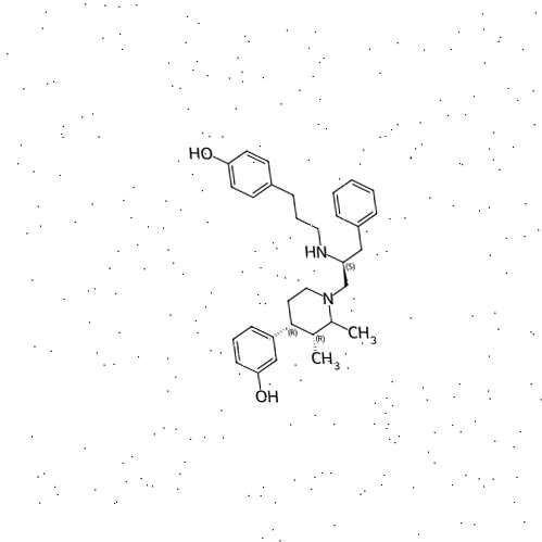 CC1[C@H](C)[C@H](c2cccc(O)c2)CCN1C[C@H](Cc1ccccc1)NCCCc1ccc(O)cc1